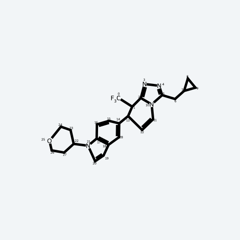 FC(F)(F)C1c2nnc(CC3CC3)n2C=CC1c1ccc2c(ccn2C2CCOCC2)c1